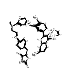 CN(CCOc1ccc(CC2SC(=O)NC2=O)cc1)c1ccccn1.O=C(O)/C=C\C(=O)O.O=c1c(O)c(-c2ccc(O)c(O)c2)oc2cc(O)ccc12